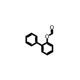 O=COc1ccccc1-c1ccccc1